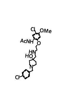 COc1cc(OCCNCC2(O)CCN(Cc3ccc(Cl)cc3)CC2)c(NC(C)=O)cc1Cl